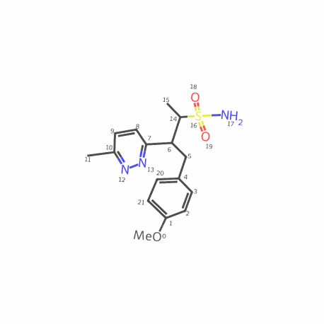 COc1ccc(CC(c2ccc(C)nn2)C(C)S(N)(=O)=O)cc1